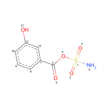 NS(=O)(=O)OC(=O)c1cccc(O)c1